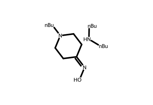 CCCCN1CCC(=NO)CC1.CCCCNCCCC